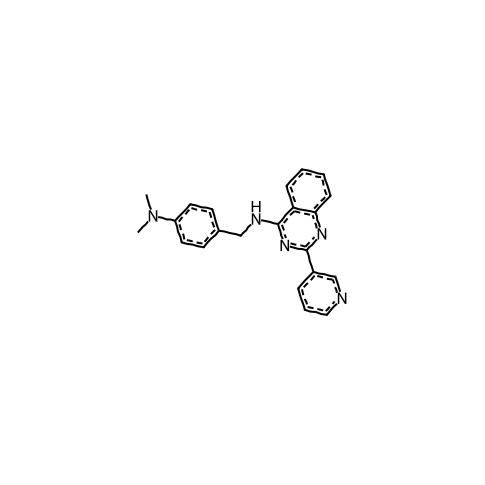 CN(C)c1ccc(CNc2nc(-c3cccnc3)nc3ccccc23)cc1